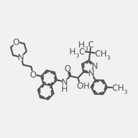 Cc1cccc(-n2nc(C(C)(C)C)cc2C(O)C(=O)Nc2ccc(OCCN3CCOCC3)c3ccccc23)c1